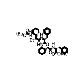 CC[C@@H](C(=O)N[C@H](Cc1ccccc1)C(=O)N[C@@H]1CCCC[C@@H]1CC(=O)N[C@H](Cc1ccccc1)C(=O)OC)[C@H]1CCCC[C@H]1NC(=O)OC(C)(C)C